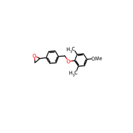 COc1cc(C)c(OCc2ccc(C3CO3)cc2)c(C)c1